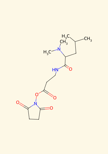 CC(C)CC(C(=O)NCCC(=O)ON1C(=O)CCC1=O)N(C)C